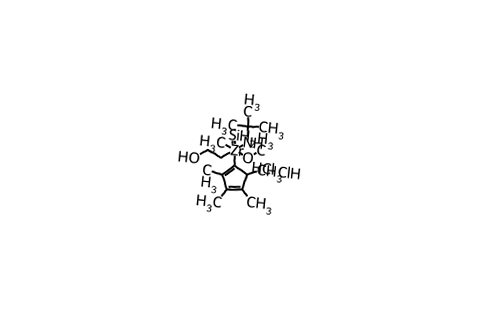 C[O][Zr]([CH3])(=[SiH2])([CH2]CO)([NH]C(C)(C)C)[C]1=C(C)C(C)=C(C)C1C.Cl.Cl